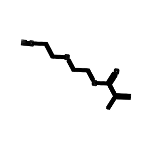 C=C(C)C(=O)OCCOCCOCC(C)C